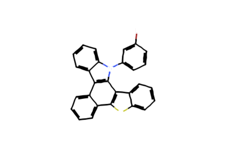 Brc1cccc(-n2c3ccccc3c3c4ccccc4c4sc5ccccc5c4c32)c1